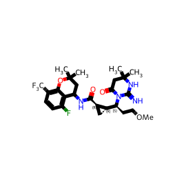 COCC[C@@H]([C@@H]1C[C@H]1C(=O)NC1CC(C)(C)Oc2c(C(F)(F)F)ccc(F)c21)N1C(=N)NC(C)(C)CC1=O